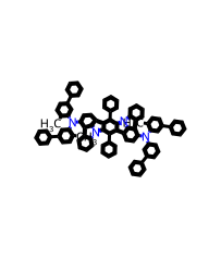 Cc1ccc(-c2ccccc2)cc1N(c1cccc(-c2ccccc2)c1)c1ccc2c3c(-c4ccccc4)c4c(c(-c5ccccc5)c3n3c5ccccc5c1c23)c1ccc(N(c2cc(-c3ccccc3)ccc2C)c2cc(-c3ccccc3)ccc2C)c2c3ccccc3n4c12